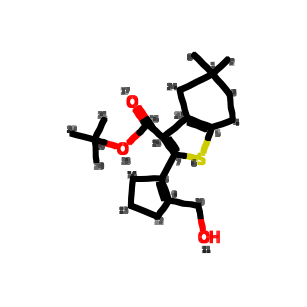 CC1(C)CCc2sc(C3=C(CO)CCC3)c(C(=O)OC(C)(C)C)c2C1